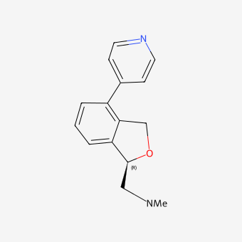 CNC[C@@H]1OCc2c(-c3ccncc3)cccc21